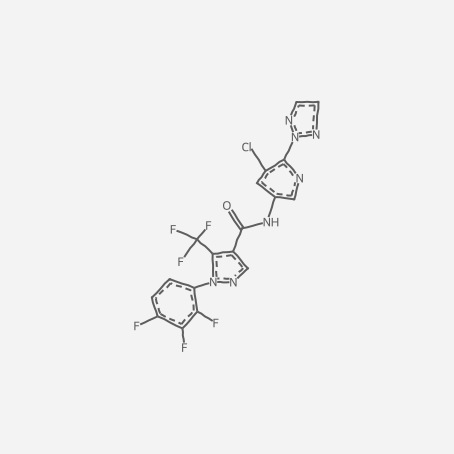 O=C(Nc1cnc(-n2nccn2)c(Cl)c1)c1cnn(-c2ccc(F)c(F)c2F)c1C(F)(F)F